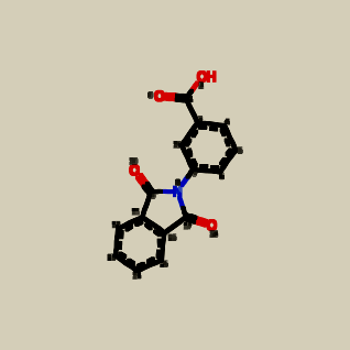 O=C(O)c1cccc(N2C(=O)c3ccccc3C2=O)c1